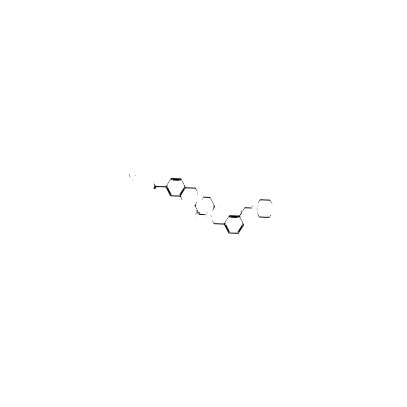 COC(=O)c1ccc(CN2C[C@@H](C)N(Cc3cccc(CN4CCOCC4)c3)[C@@H](C)C2)c(F)c1